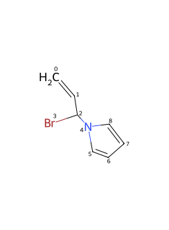 C=CC(Br)n1cccc1